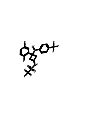 O=S(=O)(NC1CC(c2cc(F)ccc2F)([S+]([O-])c2ccc(C(F)(F)F)cc2)C1)C(F)(F)F